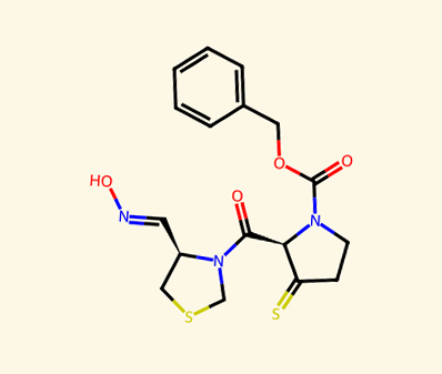 O=C(OCc1ccccc1)N1CCC(=S)[C@H]1C(=O)N1CSC[C@H]1C=NO